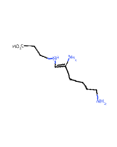 NCCCCC(N)=CNCCC(=O)O